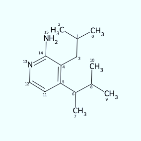 CC(C)Cc1c(C(C)C(C)C)ccnc1N